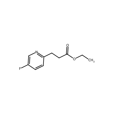 CCOC(=O)CCc1ccc(F)cn1